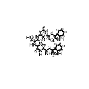 CC(C)C[C@H](NC(=O)[C@H](CO)NC(=O)[C@H](C)NC(=O)[C@@H](N)Cc1c[nH]c2ccccc12)C(=O)N[C@H]([C]=O)Cc1c[nH]c2ccccc12